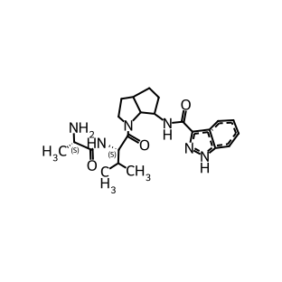 CC(C)[C@H](NC(=O)[C@H](C)N)C(=O)N1CCC2CCC(NC(=O)c3n[nH]c4ccccc34)C21